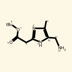 Cc1nc(CC(=O)OC(C)(C)C)[nH]c1CN